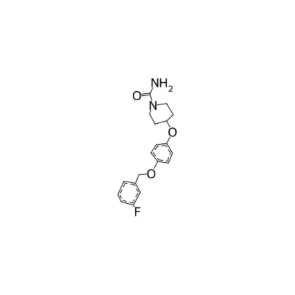 NC(=O)N1CCC(Oc2ccc(OCc3cccc(F)c3)cc2)CC1